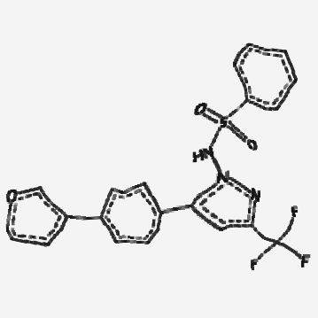 O=S(=O)(Nn1nc(C(F)(F)F)cc1-c1ccc(-c2ccoc2)cc1)c1ccccc1